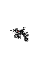 C[C@H](NC(=O)O)[C@@H](Nc1nc(Nc2cnc(N3CCOCC3)c(F)c2)c(C#N)cc1F)c1ccccc1F